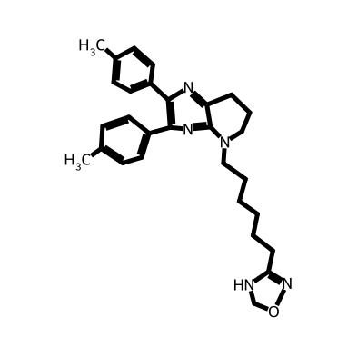 Cc1ccc(-c2nc3c(nc2-c2ccc(C)cc2)N(CCCCCCC2=NOCN2)CCC3)cc1